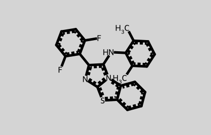 Cc1cccc(C)c1Nc1c(-c2c(F)cccc2F)nc2sc3ccccc3n12